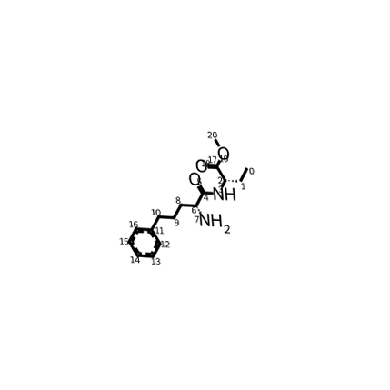 CC[C@H](NC(=O)[C@H](N)CCCc1ccccc1)C(=O)OC